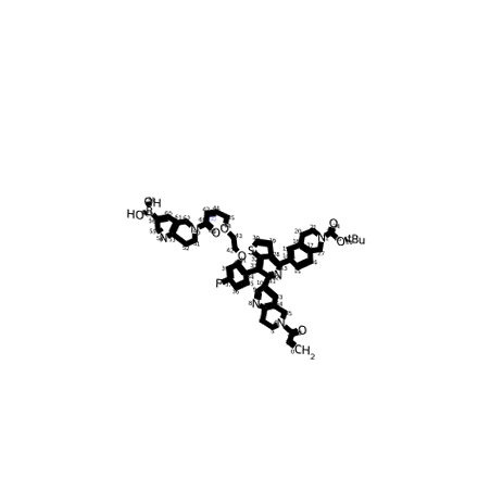 C=CC(=O)N1CCc2ncc(-c3nc(-c4ccc5c(c4)CCN(C(=O)OC(C)(C)C)C5)c4ccsc4c3-c3ccc(F)cc3OCCOC/C=C\C(=O)N3CCc4ncc(B(O)O)cc4C3)cc2C1